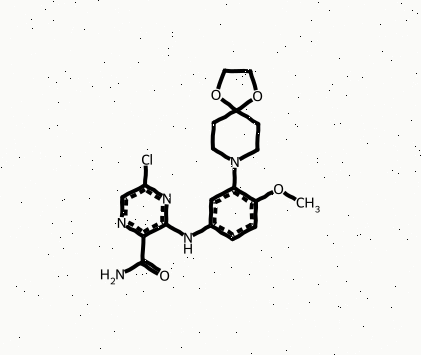 COc1ccc(Nc2nc(Cl)cnc2C(N)=O)cc1N1CCC2(CC1)OCCO2